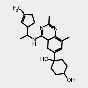 CC1=NC2=C(C)C=C(C3(O)CCC(O)CC3)CC2C(NC(C)C2C=C(C(F)(F)F)CC2)=N1